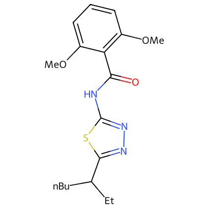 CCCCC(CC)c1nnc(NC(=O)c2c(OC)cccc2OC)s1